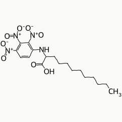 CCCCCCCCCCC(Nc1ccc([N+](=O)[O-])c([N+](=O)[O-])c1[N+](=O)[O-])C(=O)O